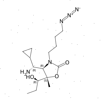 CC[C@@H](O)[C@@]1(C)OC(=O)N(CCCCN=[N+]=[N-])[C@@H]1[C@H](N)C1CC1